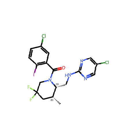 C[C@@H]1CC(F)(F)CN(C(=O)c2cc(Cl)ccc2I)[C@@H]1CNc1ncc(Cl)cn1